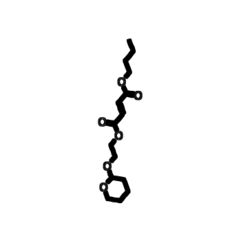 CCCCOC(=O)C=CC(=O)OCCOC1CCCCO1